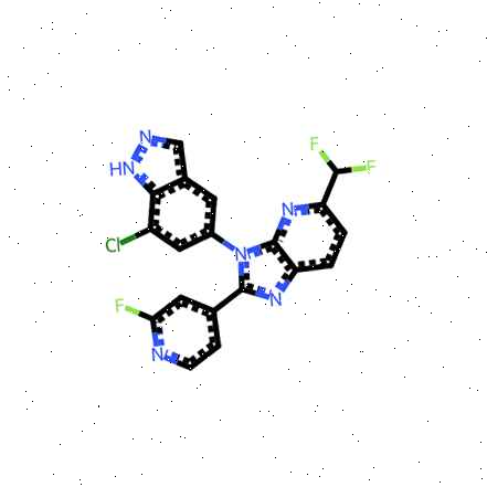 Fc1cc(-c2nc3ccc(C(F)F)nc3n2-c2cc(Cl)c3[nH]ncc3c2)ccn1